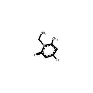 Cc1cc(Cl)cc(=O)n1CN